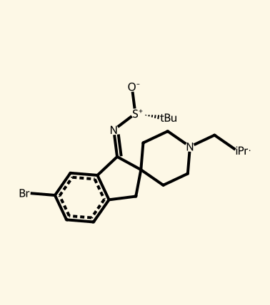 C[C](C)CN1CCC2(CC1)Cc1ccc(Br)cc1/C2=N/[S@+]([O-])C(C)(C)C